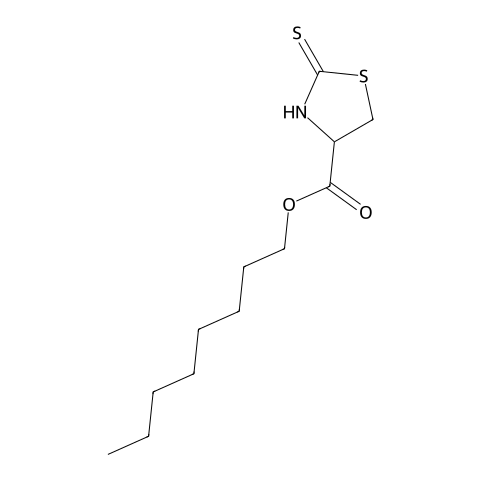 CCCCCCCCOC(=O)C1CSC(=S)N1